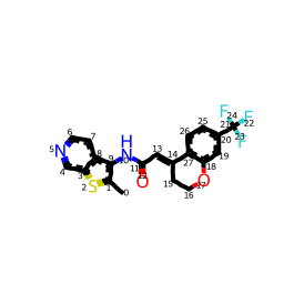 Cc1sc2cnccc2c1NC(=O)/C=C1\CCOc2cc(C(F)(F)F)ccc21